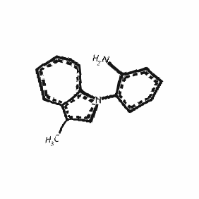 Cc1cn(-c2ccccc2N)c2ccccc12